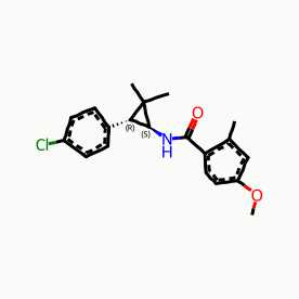 COc1ccc(C(=O)N[C@H]2[C@H](c3ccc(Cl)cc3)C2(C)C)c(C)c1